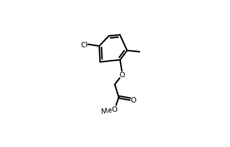 COC(=O)COc1cc(Cl)ccc1C